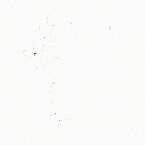 C=C(C)C(=O)OCCNC(=O)OCc1c(C)cc(C)c(C(=O)P(=O)(c2ccccc2)C2(C=O)C(C)CC(C)C(COC(=O)NCCOC(=O)C(=C)C)C2C)c1C